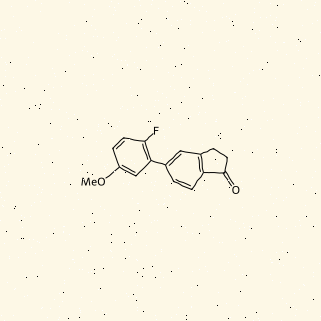 COc1ccc(F)c(-c2ccc3c(c2)CCC3=O)c1